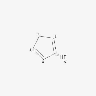 C1=CCC=C1.F